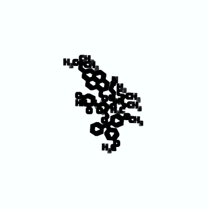 COc1ccc(C(OC[C@H]2O[C@@H](n3ccc(=O)[nH]c3=O)[C@H](OCc3ccc4ccc5cc(CC(C)(C)C)cc6ccc3c4c56)[C@@H]2OP(OCCC#N)N(C(C)C)C(C)C)(c2ccccc2)c2ccc(OC)cc2)cc1